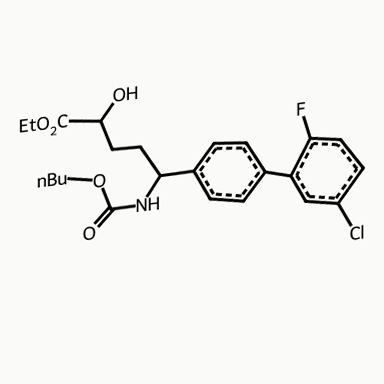 CCCCOC(=O)NC(CCC(O)C(=O)OCC)c1ccc(-c2cc(Cl)ccc2F)cc1